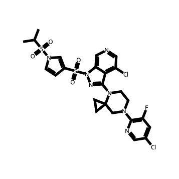 CC(C)S(=O)(=O)n1ccc(S(=O)(=O)n2nc(N3CCN(c4ncc(Cl)cc4F)CC34CC4)c3c(Cl)cncc32)c1